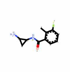 Cc1c(F)cccc1C(=O)NC1CC1N